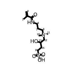 C=C(C)C(=O)NCCC[N+](C)(C)CC(O)CCS(=O)(=O)O